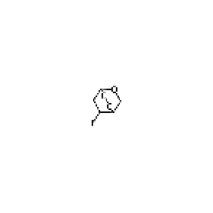 IC1CC2CCC1CO2